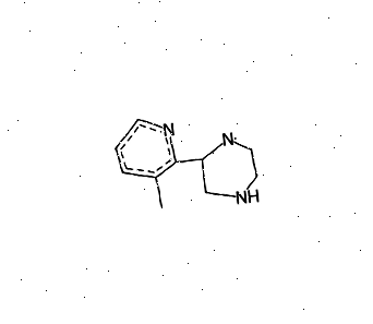 Cc1cccnc1C1CNCC[N]1